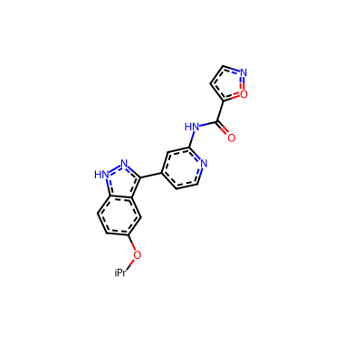 CC(C)Oc1ccc2[nH]nc(-c3ccnc(NC(=O)c4ccno4)c3)c2c1